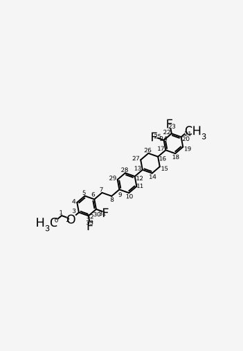 CCOc1ccc(CCc2ccc(C3=CCC(c4ccc(C)c(F)c4F)CC3)cc2)c(F)c1F